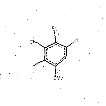 CCc1c(Cl)cc(OC)c(C)c1Cl